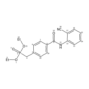 CCOP(=O)(Cc1ccc(C(=O)Nc2ccccc2C#N)cc1)OCC